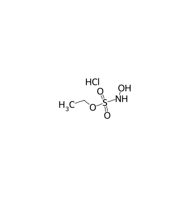 CCOS(=O)(=O)NO.Cl